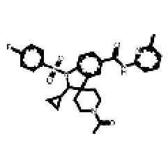 CC(=O)N1CCC2(CC1)c1cc(C(=O)Nc3cccc(C)n3)ccc1N(S(=O)(=O)c1ccc(F)cc1)C2C1CC1